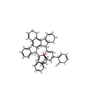 CC1CC=CC=C1c1nc(-c2ccccc2)nc(-n2c3c(c4c5c(c6c7ccccc7n(-c7ccccc7)c6c42)C=CCC5)C=CCC3)n1